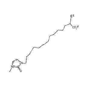 CCC(CCCCCCCCCCCCn1ccn(C)c1=O)C(=O)O